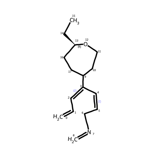 C=C/C=C(\C=C/CN=C)C1CCO[C@H](CC)CC1